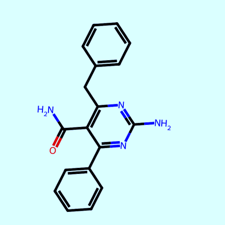 NC(=O)c1c(Cc2ccccc2)nc(N)nc1-c1ccccc1